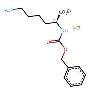 CCOC(=O)[C@H](CCCCN)NC(=O)OCc1ccccc1.Cl